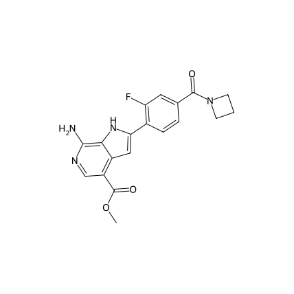 COC(=O)c1cnc(N)c2[nH]c(-c3ccc(C(=O)N4CCC4)cc3F)cc12